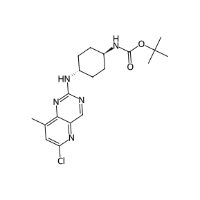 Cc1cc(Cl)nc2cnc(N[C@H]3CC[C@H](NC(=O)OC(C)(C)C)CC3)nc12